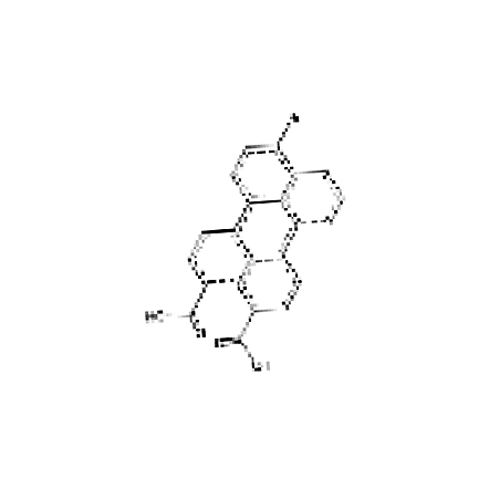 O=C(O)c1ccc2c3cccc4c(Br)ccc(c5ccc(C(=O)O)c1c25)c43